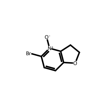 [O-][n+]1c(Br)ccc2c1CCO2